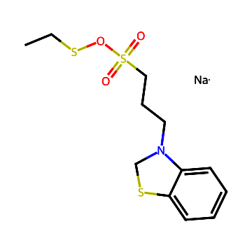 CCSOS(=O)(=O)CCCN1CSc2ccccc21.[Na]